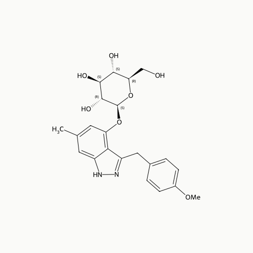 COc1ccc(Cc2n[nH]c3cc(C)cc(O[C@@H]4O[C@H](CO)[C@@H](O)[C@H](O)[C@H]4O)c23)cc1